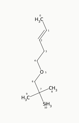 CC=CCCOCC(C)(C)[SiH3]